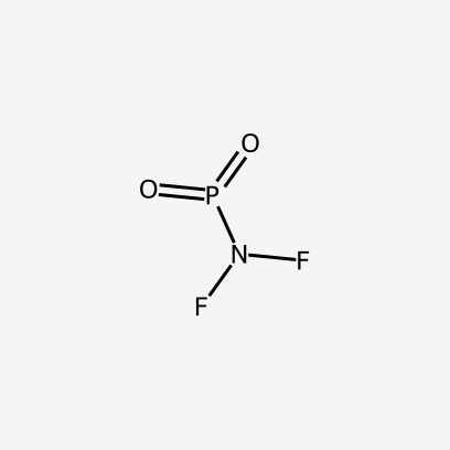 O=P(=O)N(F)F